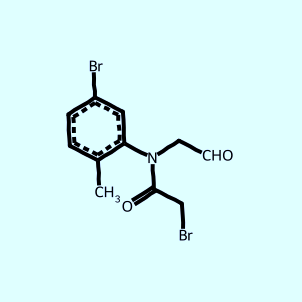 Cc1ccc(Br)cc1N(CC=O)C(=O)CBr